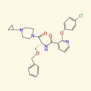 O=C(N[C@H](COCc1ccccc1)C(=O)N1CCN(C2CC2)CC1)c1cccnc1Oc1ccc(Cl)cc1